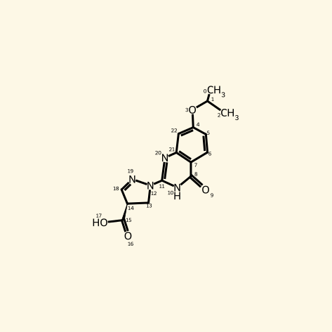 CC(C)Oc1ccc2c(=O)[nH]c(N3C[C@@H](C(=O)O)C=N3)nc2c1